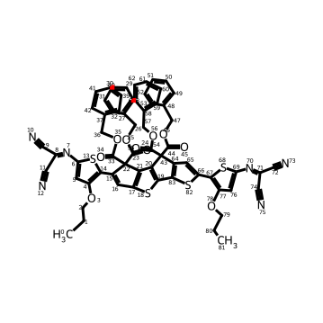 CCCOc1cc(N=C(C#N)C#N)sc1C1=Cc2sc3c(c2C1(C(=O)OCc1ccccc1)C(=O)OCc1ccccc1)C(C(=O)OCc1ccccc1)(C(=O)OCc1ccccc1)c1cc(-c2sc(N=C(C#N)C#N)cc2OCCC)sc1-3